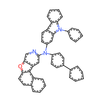 c1ccc(-c2ccc(N(c3ccc4c5ccccc5n(-c5ccccc5)c4c3)c3cc4c(cn3)oc3ccc5ccccc5c34)cc2)cc1